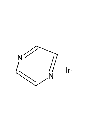 [Ir].c1cnccn1